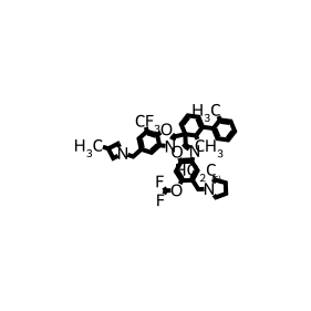 Cc1ccccc1C1=CC=CC(c2nc3cc(CN4CCC[C@H]4C(=O)O)c(OC(F)F)cc3o2)(c2nc3cc(CN4CC(C)C4)cc(C(F)(F)F)c3o2)C1C